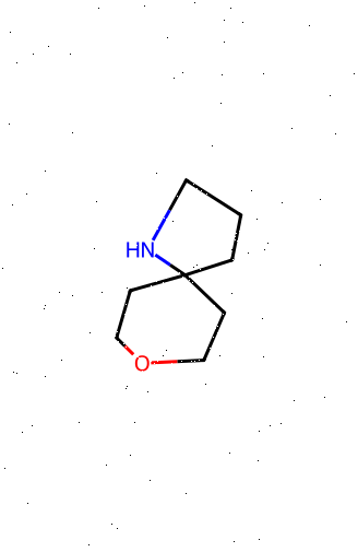 C1CNC2(C1)CCOCC2